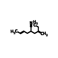 C=C(CC)CC(C#N)CC=CC